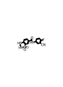 N#Cc1cc(NC(=O)c2ccc3c(c2)S(=O)(=O)NCN3)ccc1F